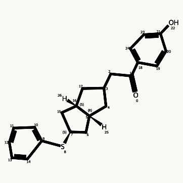 O=C(CC1C[C@@H]2C[C@@H](Sc3ccccc3)C[C@@H]2C1)c1ccc(O)cc1